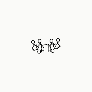 O=C1C=CC(=O)N1C(=O)NCNC(=O)N1C(=O)C=CC1=O